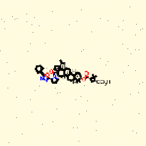 C=C(C)[C@@H]1CC[C@]2(C(=O)N3CCC[C@H]3c3nnc(-c4ccccc4)o3)CC[C@]3(C)[C@H](CC[C@@H]4[C@@]5(C)CC[C@H](OC(=O)[C@H]6C[C@@H](C(=O)O)C6(C)C)C(C)(C)[C@@H]5CC[C@]43C)[C@@H]12